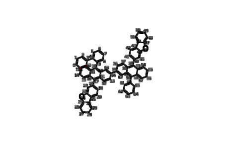 c1ccc(-c2ccccc2-c2c3ccccc3c(-c3ccc4c(c3)oc3ccccc34)c3ccc(-c4ccc5c(-c6ccc7c(c6)oc6ccccc67)c6ccccc6c(-c6ccccc6)c5c4)cc23)cc1